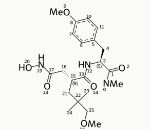 CNC(=O)[C@H](Cc1ccc(OC)cc1)NC(=O)[C@@H](CC(=O)NO)CC(C)(C)COC